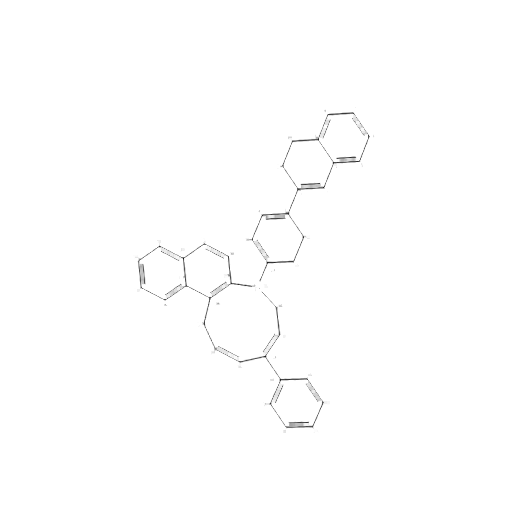 C1=C(C2=Cc3ccccc3CC2)CCC(N2C/C=C(c3ccccc3)\C=C/Cc3c2ccc2ccccc32)=C1